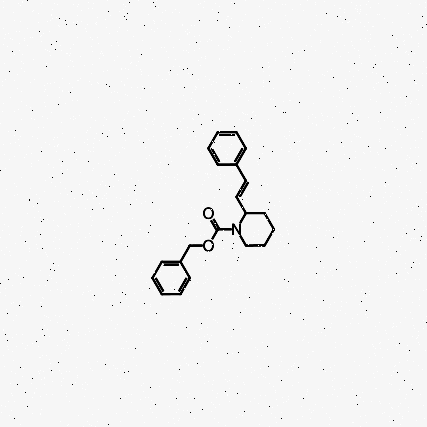 O=C(OCc1ccccc1)N1CCCCC1C=Cc1ccccc1